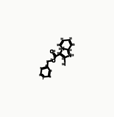 O=C(OCc1ccccc1)c1c(I)nc2ccccn12